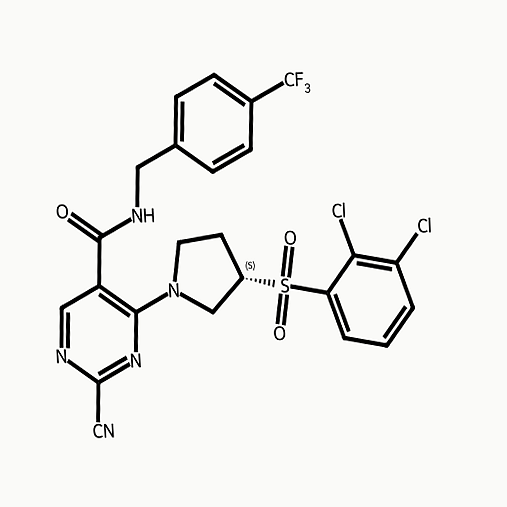 N#Cc1ncc(C(=O)NCc2ccc(C(F)(F)F)cc2)c(N2CC[C@H](S(=O)(=O)c3cccc(Cl)c3Cl)C2)n1